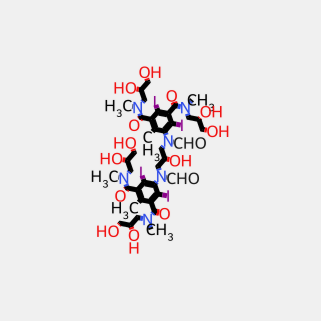 Cc1c(C(=O)N(C)CC(O)CO)c(I)c(N(C=O)CC(O)CN(C=O)c2c(C)c(C(=O)N(C)CC(O)CO)c(I)c(C(=O)N(C)CC(O)CO)c2I)c(I)c1C(=O)N(C)CC(O)CO